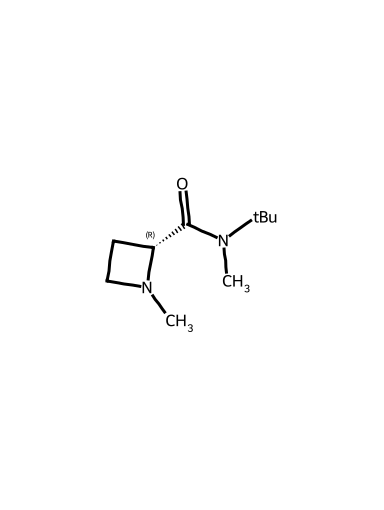 CN1CC[C@@H]1C(=O)N(C)C(C)(C)C